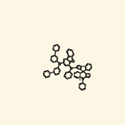 CC12C=CC=CC1C1(c3ccccc3-c3ccc(N(c4ccccc4)c4cc(N(c5cccc(-c6ccccc6)c5)c5cccc(-c6ccccc6)c5)cc5c4oc4ccccc45)cc31)c1ccccc1N2c1ccccc1